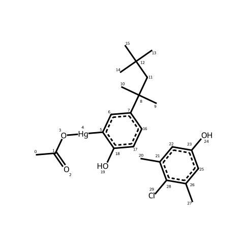 CC(=O)[O][Hg][c]1cc(C(C)(C)CC(C)(C)C)ccc1O.Cc1cc(O)cc(C)c1Cl